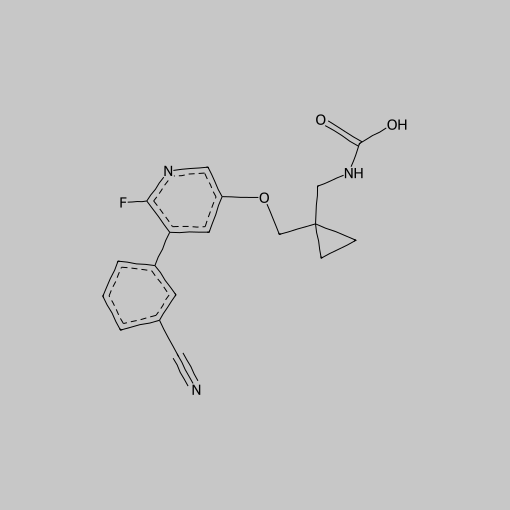 N#Cc1cccc(-c2cc(OCC3(CNC(=O)O)CC3)cnc2F)c1